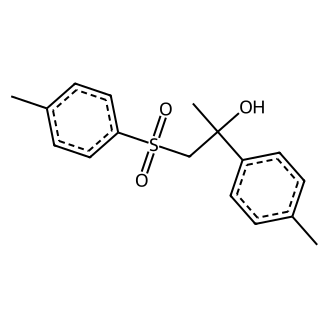 Cc1ccc(C(C)(O)CS(=O)(=O)c2ccc(C)cc2)cc1